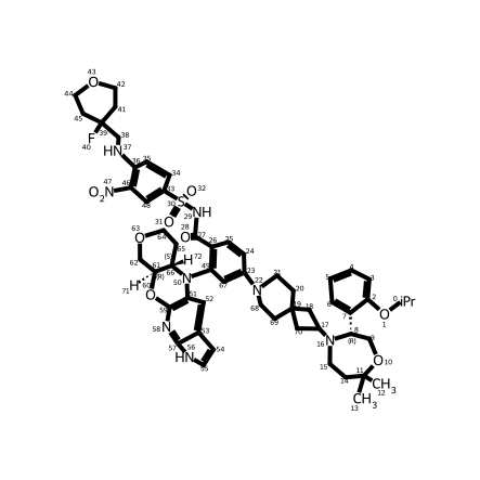 CC(C)Oc1ccccc1[C@@H]1COC(C)(C)CCN1C1CC2(CCN(c3ccc(C(=O)NS(=O)(=O)c4ccc(NCC5(F)CCOCC5)c([N+](=O)[O-])c4)c(N4c5cc6cc[nH]c6nc5O[C@H]5COCC[C@@H]54)c3)CC2)C1